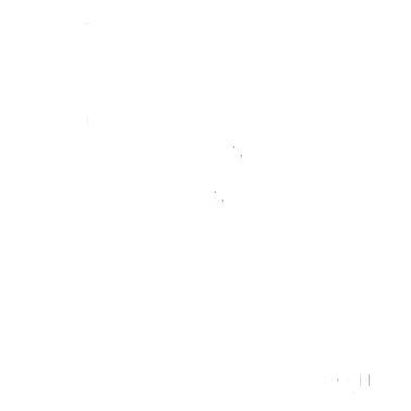 CC(F)(F)c1cccc(-n2ccc(-c3cccc(C(=O)O)c3)n2)c1